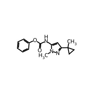 Cn1nc(C2(C)CC2)cc1NC(=O)Oc1ccccc1